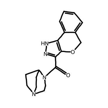 O=C(c1n[nH]c2c1OCc1ccccc1-2)N1CCN2CCC1CC2